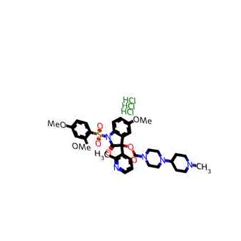 COc1ccc(S(=O)(=O)N2C(=O)C(OC(=O)N3CCN(C4CCN(C)CC4)CC3)(c3cccnc3C)c3cc(OC)ccc32)c(OC)c1.Cl.Cl.Cl